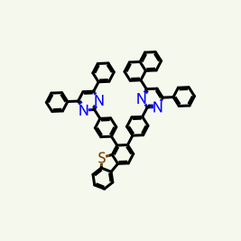 c1ccc(-c2cc(-c3ccccc3)nc(-c3ccc(-c4c(-c5ccc(-c6nc(-c7ccccc7)cc(-c7cccc8ccccc78)n6)cc5)ccc5c4sc4ccccc45)cc3)n2)cc1